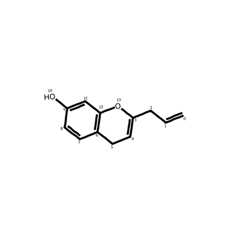 C=CCC1=CCc2ccc(O)cc2O1